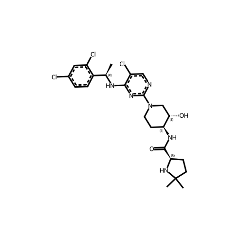 C[C@@H](Nc1nc(N2CC[C@H](NC(=O)[C@H]3CCC(C)(C)N3)[C@@H](O)C2)ncc1Cl)c1ccc(Cl)cc1Cl